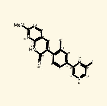 CSc1ncc2cc(-c3ccc(-c4cncc(C)n4)cc3C)c(=O)[nH]c2n1